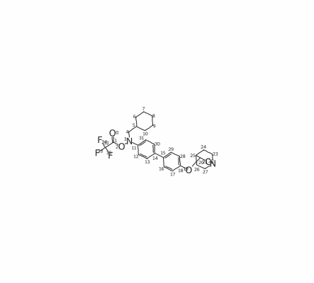 O=C(ON(CC1CCCCC1)c1ccc(-c2ccc(OC3CN4CCC3CC4)cc2)cc1)C(F)(F)F